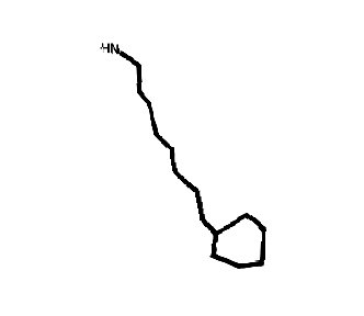 [NH]CCCCCCCCC1CCCCC1